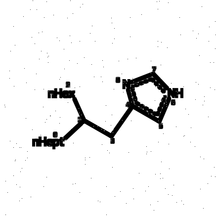 CCCCCCCC(CCCCCC)Cc1c[nH]cn1